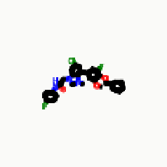 COc1cc(-c2cc(Cl)cc3c2N(C)CN3CC(=O)Nc2ccc(F)cc2)cc(F)c1OCc1ccccc1